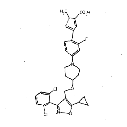 Cn1nc(-c2ccc(N3CCC(OCc4c(-c5c(Cl)cccc5Cl)noc4C4CC4)CC3)cc2F)cc1C(=O)O